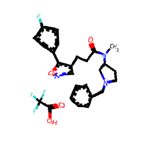 CN(C(=O)CCc1cnoc1-c1ccc(F)cc1)C1CCN(Cc2ccccc2)C1.O=C(O)C(F)(F)F